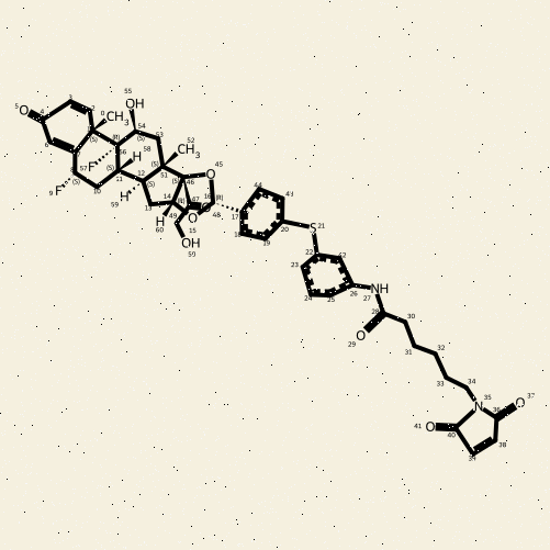 C[C@]12C=CC(=O)C=C1[C@@H](F)C[C@H]1[C@@H]3C[C@H]4O[C@@H](c5ccc(Sc6cccc(NC(=O)CCCCCN7C(=O)C=CC7=O)c6)cc5)O[C@@]4(C(=O)CO)[C@@]3(C)C[C@H](O)[C@@]12F